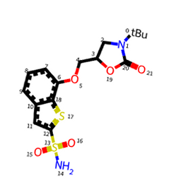 CC(C)(C)N1CC(COc2cccc3cc(S(N)(=O)=O)sc23)OC1=O